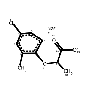 Cc1cc(Cl)ccc1OC(C)C(=O)[O-].[Na+]